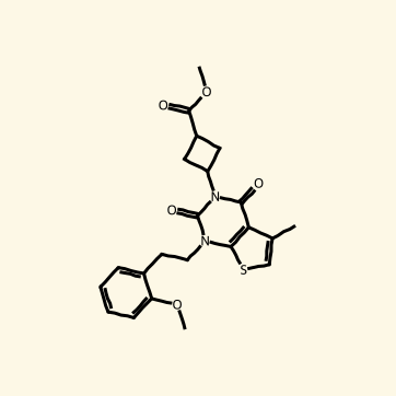 COC(=O)C1CC(n2c(=O)c3c(C)csc3n(CCc3ccccc3OC)c2=O)C1